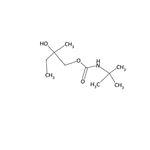 CCC(C)(O)COC(=O)NC(C)(C)C